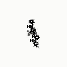 Cc1ccc(Nc2ccnc3nc(-c4nnc(NCc5cccnc5)cc4C(F)(F)F)cnc23)nc1